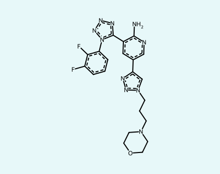 Nc1ncc(-c2cn(CCCN3CCOCC3)nn2)cc1-c1nnnn1-c1cccc(F)c1F